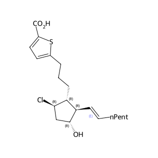 CCCCC/C=C/[C@@H]1[C@@H](CCCc2ccc(C(=O)O)s2)[C@H](Cl)C[C@H]1O